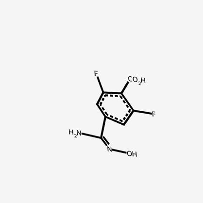 N/C(=N/O)c1cc(F)c(C(=O)O)c(F)c1